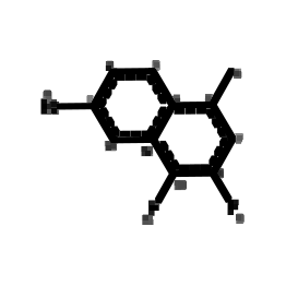 CCc1ccc2c(C)cc(F)c(F)c2c1